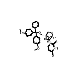 COc1ccc(C(OC[C@@]23CS[C@@H]([C@H](n4ccc(=O)[nH]c4=O)O2)[C@@H]3O)(c2ccccc2)c2ccc(OC)cc2)cc1